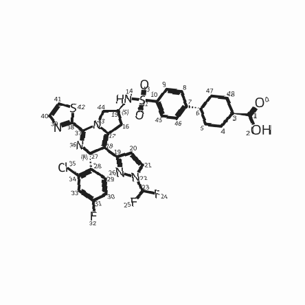 O=C(O)[C@H]1CC[C@H](c2ccc(S(=O)(=O)N[C@H]3CC4=C(c5ccn(C(F)F)n5)[C@H](c5ccc(F)cc5Cl)N=C(c5nccs5)N4C3)cc2)CC1